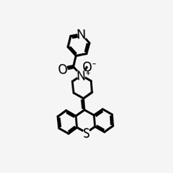 O=C(c1ccncc1)[N+]1([O-])CCC(=C2c3ccccc3Sc3ccccc32)CC1